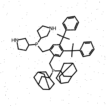 CC(C)(c1ccccc1)c1cc(CP(C2CCNC2)C2CCNC2)c(CP(C23CC4CC(CC(C4)C2)C3)C23CC4CC(CC(C4)C2)C3)cc1C(C)(C)c1ccccc1